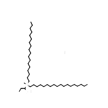 CCCCCCCCCCCCCCCCCC[N+](C)(CCCCCCCCCCCCCCCCCC)C(O)CC.[Cl-]